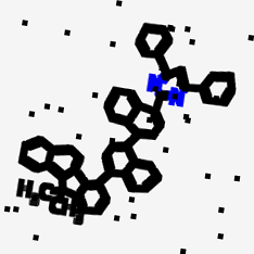 CC1(C)c2cccc(-c3ccc(-c4ccc(-c5nc(-c6ccccc6)cc(-c6ccccc6)n5)c5ccccc45)c4ccccc34)c2-c2ccc3ccccc3c21